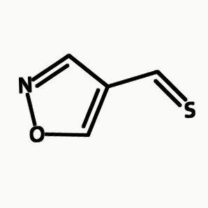 S=Cc1cnoc1